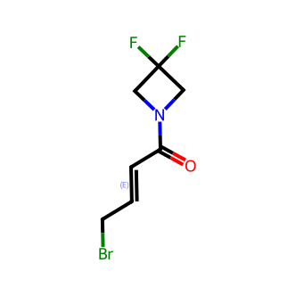 O=C(/C=C/CBr)N1CC(F)(F)C1